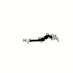 CCCCCCCCCCC(=O)Oc1ccc(-c2ccc(C(=O)OCC(C)CC)cc2)cc1